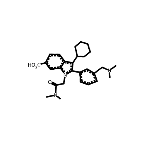 CN(C)Cc1cccc(-c2c(C3CCCCC3)c3ccc(C(=O)O)cc3n2CC(=O)N(C)C)c1